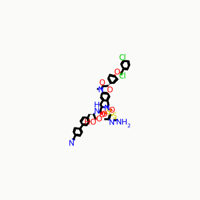 Cc1nc(N)sc1S(=O)(=O)N1Cc2cc3c(cc2CC1C(=O)N[C@@H](Cc1ccc(-c2ccc(C#N)cc2)cc1)C(=O)O)N(C)C(=O)[C@H](c1ccc(OC(Cl)c2cccc(Cl)c2)cc1)O3